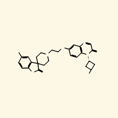 C[C@]1(O)C[C@@H](n2c(=O)cnc3cc(OCCN4CCC5(CC4)C(=O)Nc4ccc(Cl)cc45)ccc32)C1